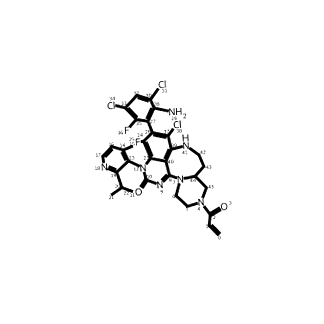 C=CC(=O)N1CCN2c3nc(=O)n(-c4c(C)ccnc4C(C)C)c4c(F)c(-c5c(N)c(Cl)cc(Cl)c5F)c(Cl)c(c34)NCCC2C1